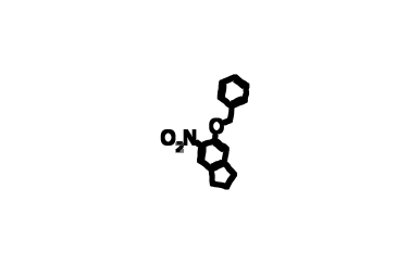 O=[N+]([O-])c1cc2c(cc1OCc1ccccc1)CCC2